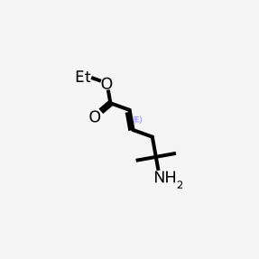 CCOC(=O)/C=C/CC(C)(C)N